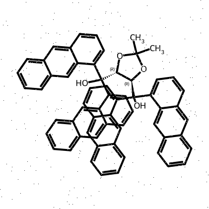 CC1(C)O[C@@H](C(O)(c2cccc3cc4ccccc4cc23)c2cccc3cc4ccccc4cc23)[C@H](C(O)(c2cccc3cc4ccccc4cc23)c2cccc3cc4ccccc4cc23)O1